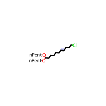 CCCCCOC(CCCCC/C=C/CCCCl)OCCCCC